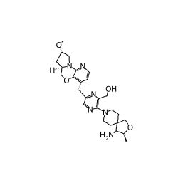 CO[C@H]1C[C@@H]2COc3c(Sc4cnc(N5CCC6(CC5)CO[C@@H](C)[C@H]6N)c(CO)n4)ccnc3N2C1